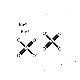 O=S(=O)([O-])[O-].O=S(=O)([O-])[O-].[Ba+2].[Ba+2]